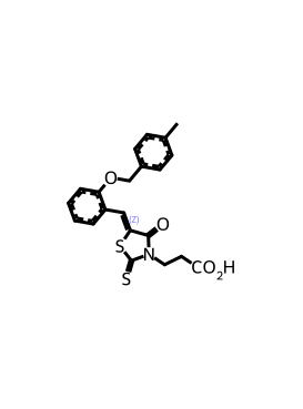 Cc1ccc(COc2ccccc2/C=C2\SC(=S)N(CCC(=O)O)C2=O)cc1